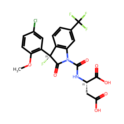 COc1ccc(Cl)cc1[C@]1(F)C(=O)N(C(=O)N[C@@H](CC(=O)O)C(=O)O)c2cc(C(F)(F)F)ccc21